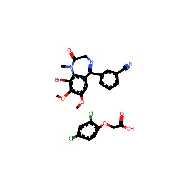 COc1cc2c(c(Br)c1OC)N(C)C(=O)CN=C2c1cccc(C#N)c1.O=C(O)COc1ccc(Cl)cc1Cl